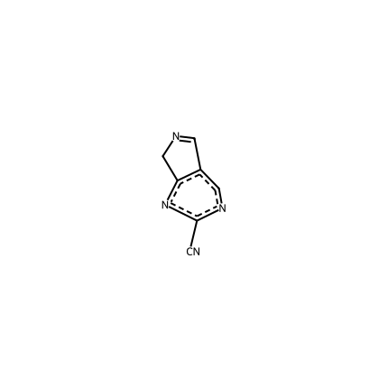 N#Cc1ncc2c(n1)CN=C2